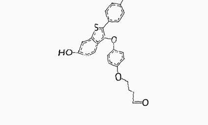 O=CCCCOc1ccc(Oc2c(-c3ccc(Br)cc3)sc3cc(O)ccc23)cc1